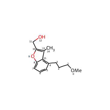 COCCCc1cccc2oc(CO)c(C)c12